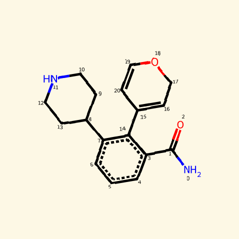 NC(=O)c1cccc(C2CCNCC2)c1C1=CCOC=C1